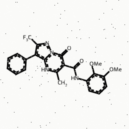 COc1cccc(NC(=O)c2c(C)[nH]c3c(-c4ccccc4)c(C(F)(F)F)nn3c2=O)c1OC